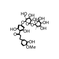 COc1ccc(CCC(=O)c2c(O)cc(OC3O[C@H](OC4O[C@@H](O)[C@H](O)[C@H](O)[C@@H]4C)[C@@H](O)[C@@H](O)[C@H]3CO)cc2O)cc1O